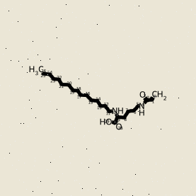 C=CC(=O)NCCCCC(NCCCCCCCCCCCCCCCC)C(=O)O